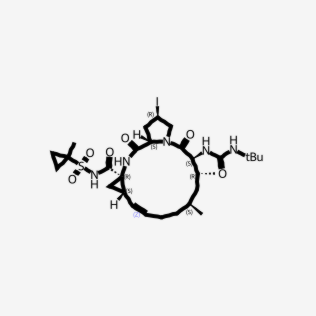 C[C@H]1CC/C=C\[C@@H]2C[C@@]2(C(=O)NS(=O)(=O)C2(C)CC2)NC(=O)[C@@H]2C[C@@H](I)CN2C(=O)[C@@H](NC(=O)NC(C)(C)C)[C@H](C)C1